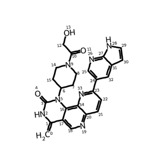 C=C1NC(=O)N(C2CCN(C(=O)CO)CC2)c2c1cnc1ccc(-c3cnc4[nH]ccc4c3)nc21